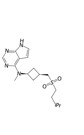 CC(C)CCS(=O)(=O)C[C@H]1C[C@@H](N(C)c2ncnc3[nH]ccc23)C1